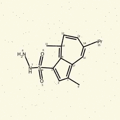 Cc1cc(S(=O)(=O)NN)c2c(C)ccc(C(C)C)cc1-2